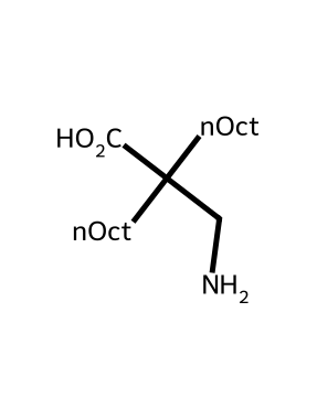 CCCCCCCCC(CN)(CCCCCCCC)C(=O)O